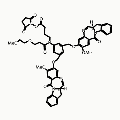 COCCOCCC(=O)N(CCCC(=O)ON1C(=O)CCC1=O)c1cc(COc2cc3c(cc2OC)C(=O)N2c4ccccc4C[C@H]2C=N3)cc(COc2cc3c(cc2OC)C(=O)N2c4ccccc4C[C@H]2C=N3)c1